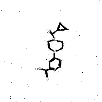 O=C(O)c1cc(N2CCN(C(=O)C3CC3)CC2)ccn1